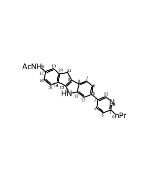 CCCc1ccc(-c2ccc3c4c([nH]c3c2)-c2ccc(NC(C)=O)cc2C4)cn1